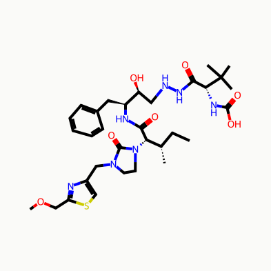 CC[C@H](C)[C@@H](C(=O)N[C@@H](Cc1ccccc1)[C@@H](O)CNNC(=O)[C@@H](NC(=O)O)C(C)(C)C)N1CCN(Cc2csc(COC)n2)C1=O